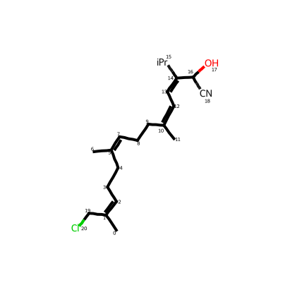 CC(=CCCC(C)=CCCC(C)=CC=C(C(C)C)C(O)C#N)CCl